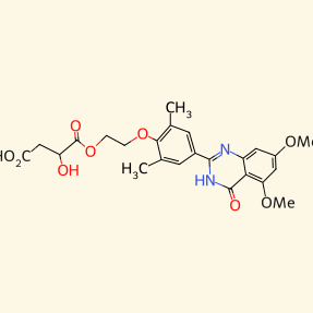 COc1cc(OC)c2c(=O)[nH]c(-c3cc(C)c(OCCOC(=O)C(O)CC(=O)O)c(C)c3)nc2c1